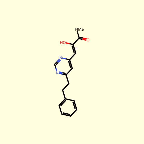 CNC(=O)/C(O)=C/c1cc(CCc2ccccc2)ncn1